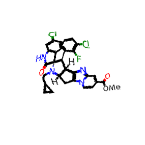 COC(=O)c1ccn2c3c(nc2c1)[C@@H]1[C@H](C3)N(CC2CC2)[C@@]2(C(=O)Nc3cc(Cl)ccc32)[C@H]1c1cccc(Cl)c1F